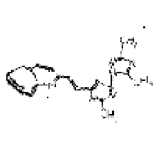 Cc1nc(C=Cc2ccc3ccccc3n2)cc(-n2nc(C)nc2C)n1